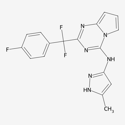 Cc1cc(Nc2nc(C(F)(F)c3ccc(F)cc3)nc3cccn23)n[nH]1